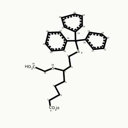 O=C(O)CCCCC(CCSC(c1ccccc1)(c1ccccc1)c1ccccc1)SCC(=O)O